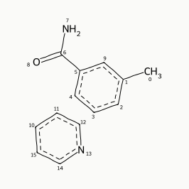 Cc1cccc(C(N)=O)c1.c1ccncc1